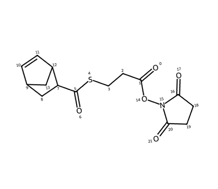 O=C(CCSC(=O)C1CC2C=CC1C2)ON1C(=O)CCC1=O